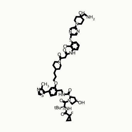 Cc1ncsc1-c1ccc(CNC(=O)[C@@H]2C[C@@H](O)CN2C(=O)[C@@H](NC(=O)C2(F)CC2)C(C)(C)C)c(OCCCC2CCN(C(=O)CC(=O)Nc3cccc(Sc4cnc(N5CCC(C)(CN)CC5)cn4)c3Cl)CC2)c1